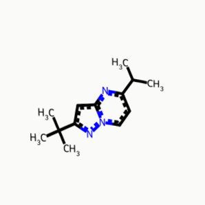 CC(C)c1ccn2nc(C(C)(C)C)cc2n1